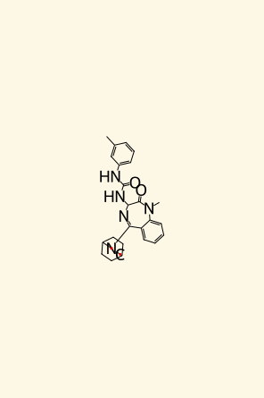 Cc1cccc(NC(=O)NC2N=C(N3CC4CCC(CC4)C3)c3ccccc3N(C)C2=O)c1